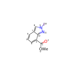 COC(=O)c1cccc2cn(I)nc12